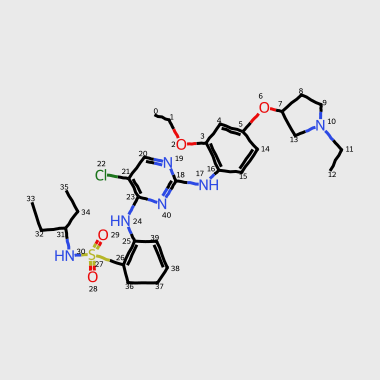 CCOc1cc(OC2CCN(CC)C2)ccc1Nc1ncc(Cl)c(NC2=C(S(=O)(=O)NC(CC)CC)CCC=C2)n1